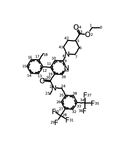 CCOC(=O)C1CCN(c2cc(-c3ccccc3C)c(C(=O)N(C)Cc3cc(C(F)(F)F)cc(C(F)(F)F)c3)cn2)CC1